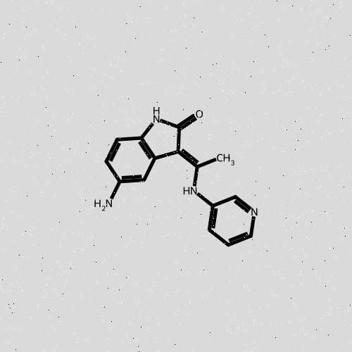 CC(Nc1cccnc1)=C1C(=O)Nc2ccc(N)cc21